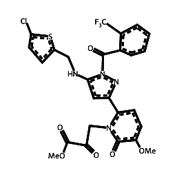 COC(=O)C(=O)Cn1c(-c2cc(NCc3ccc(Cl)s3)n(C(=O)c3ccccc3C(F)(F)F)n2)ccc(OC)c1=O